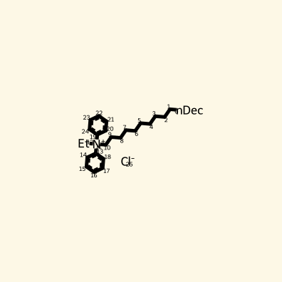 CCCCCCCCCCCCCCCCCCCC[N+](CC)(c1ccccc1)c1ccccc1.[Cl-]